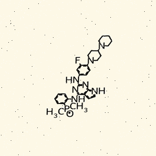 CP(C)(=O)c1ccccc1Nc1nc(Nc2ccc(N3CCC(N4CCCCC4)CC3)c(F)c2)nc2[nH]ccc12